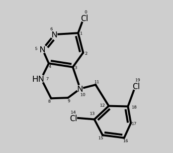 Clc1cc2c(nn1)NCCN2Cc1c(Cl)cccc1Cl